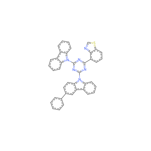 c1ccc(-c2ccc3c(c2)c2ccccc2n3-c2nc(-c3cccc4scnc34)nc(-n3c4ccccc4c4ccccc43)n2)cc1